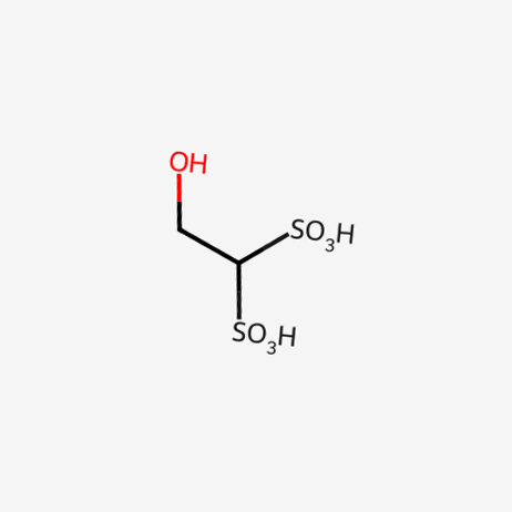 O=S(=O)(O)C(CO)S(=O)(=O)O